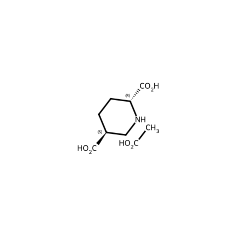 CC(=O)O.O=C(O)[C@H]1CC[C@H](C(=O)O)NC1